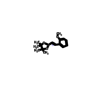 COc1ccccc1/C=C/B1OC(C)(C)C(C)(C)O1